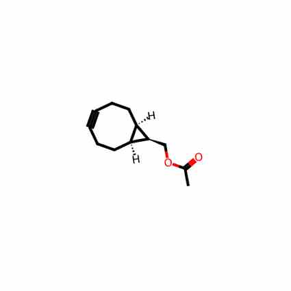 CC(=O)OC[C@@H]1[C@@H]2CCC#CCC[C@@H]21